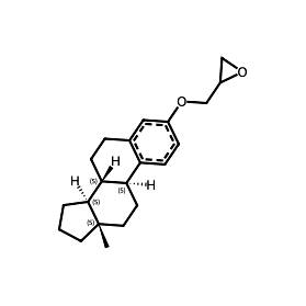 C[C@@]12CCC[C@H]1[C@@H]1CCc3cc(OCC4CO4)ccc3[C@H]1CC2